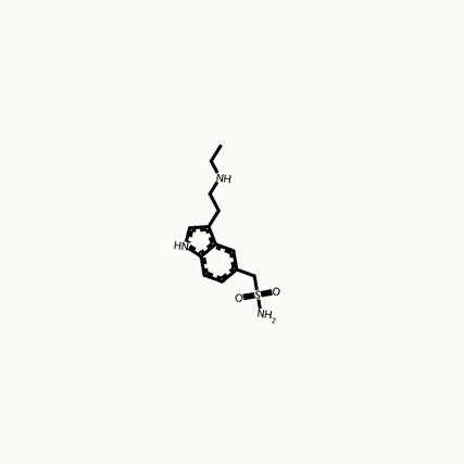 CCNCCc1c[nH]c2ccc(CS(N)(=O)=O)cc12